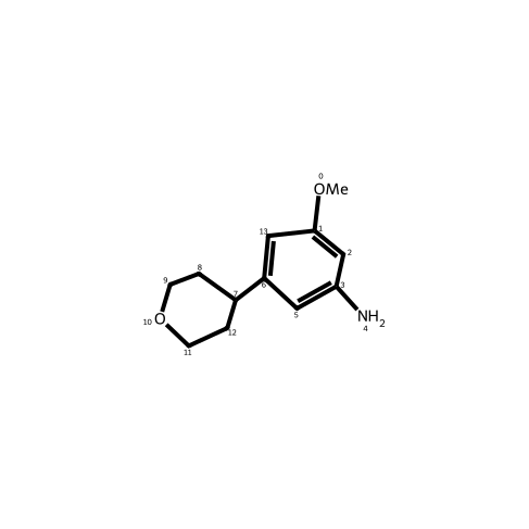 COc1cc(N)cc(C2CCOCC2)c1